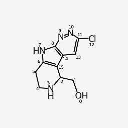 OCC1NCCc2[nH]c3nnc(Cl)cc3c21